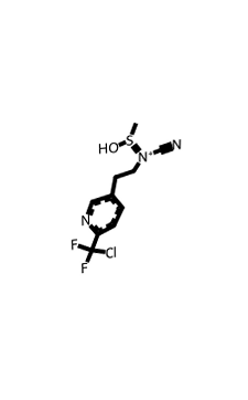 CS(O)=[N+](C#N)CCc1ccc(C(F)(F)Cl)nc1